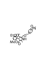 CCOC(=O)C1=C(COCCN2CCN(C(=O)N(C)C)CC2)NC(C)=C(C(=O)OC)C1c1ccccc1Cl